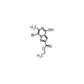 CCOC(=O)c1cc2c(O)nc(C)c(Br)n2n1